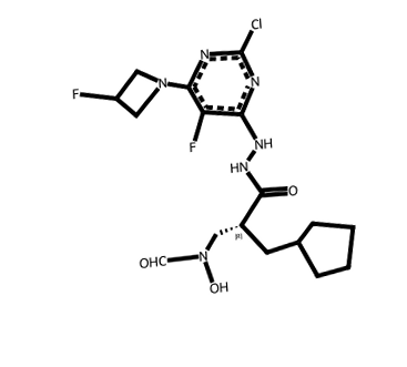 O=CN(O)C[C@@H](CC1CCCC1)C(=O)NNc1nc(Cl)nc(N2CC(F)C2)c1F